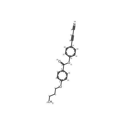 CCCCOc1ccc(C(=O)Oc2ccc(C#CC#N)cc2)cc1